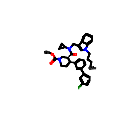 COCCCn1cc(CN(C(=O)[C@H]2CN(C(=O)OC(C)(C)C)CC[C@@H]2c2cccc(-c3cccc(F)c3)c2)C2CC2)c2ccccc21